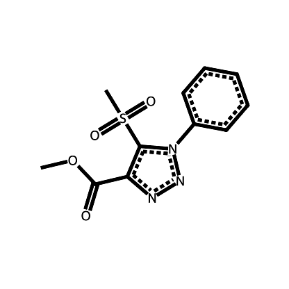 COC(=O)c1nnn(-c2ccccc2)c1S(C)(=O)=O